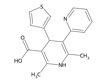 CC1=C(C(=O)O)C(c2ccsc2)C(c2ccccn2)=C(C)N1